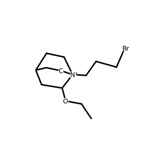 CCOC1CC2CC[N+]1(CCCBr)CC2